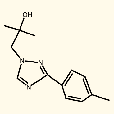 Cc1ccc(-c2ncn(CC(C)(C)O)n2)cc1